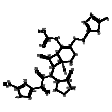 Cc1nnc(SCC2=C(OC(=O)O)N3C(=O)C(N(C(=O)C(=N)c4csc(N)n4)N4CCNC4=O)[C@@H]3SC2)s1